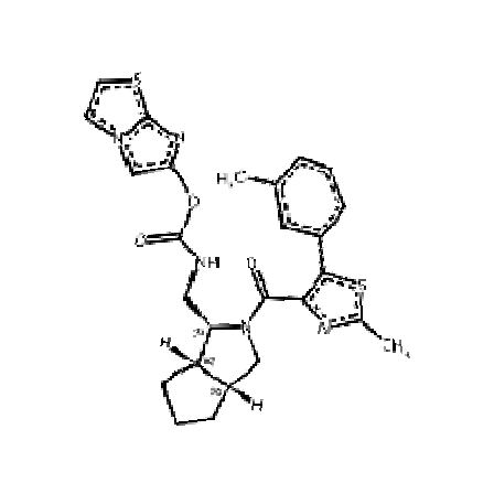 Cc1cccc(-c2sc(C)nc2C(=O)N2C[C@@H]3CCC[C@@H]3[C@H]2CNC(=O)Oc2cn3ccsc3n2)c1